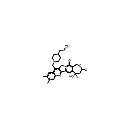 CC[C@@]1(O)CC(=O)OCc2c1cc1n(c2=O)Cc2c-1nc1cc(F)c(C)cc1c2CN1CCC(CCO)CC1